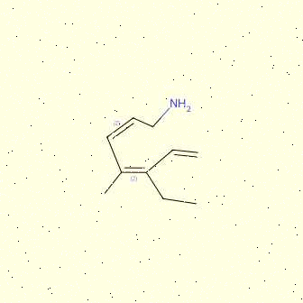 C=C/C(CC)=C(C)\C=C/CN